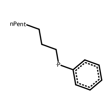 CCCCCCCC[P]c1ccccc1